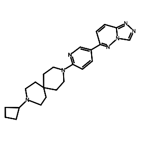 c1cc(N2CCC3(CC2)CCN(C2CCC2)CC3)ncc1-c1ccc2nncn2n1